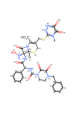 Cn1c(SCC2=C(C(=O)O)N3C(=O)[C@@](NO)(NC(=O)C(NC(=O)N4CCN(Cc5ccccc5)C(=O)C4=O)c4ccccc4)[C@H]3SC2)n[nH]c(=O)c1=O